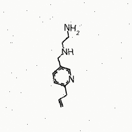 C=CCc1ccc(CNCCN)cn1